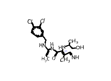 CC=C(NCc1ccc(Cl)c(Cl)c1)NC(=O)/C(NC(C)CO)=C(\C)C=N